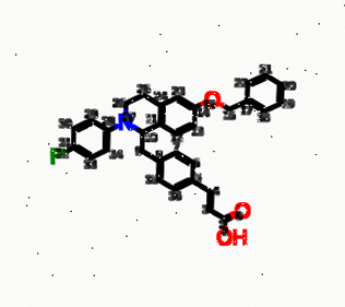 O=C(O)C=Cc1ccc(CC2c3ccc(OCc4ccccc4)cc3CCN2c2ccc(F)cc2)cc1